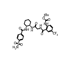 CC(C)(C)OC(=O)Nc1ccc(C(F)(F)F)cc1C(=O)NCC(=O)N[C@@H]1CCCC[C@@H]1NC(=O)c1ccc(S(N)(=O)=O)cc1